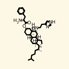 CC(C)CCC[C@@H](C)[C@H]1CC[C@H]2[C@@H]3C[C@@H](NCCc4c[nH]cn4)[C@@]4(O)C[C@@H](OC(=O)[C@@H](N)Cc5ccccc5)CC[C@]4(C)[C@H]3CC[C@]12C